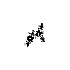 CN(C(=O)Nc1nc(OCC(F)(F)F)c(Cl)c(OCC(F)(F)F)n1)c1ccc(OC(F)(F)F)cc1